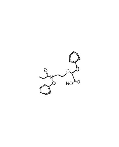 CCC(=O)N(CCOC(Oc1ccccc1)C(=O)O)Oc1ccccc1